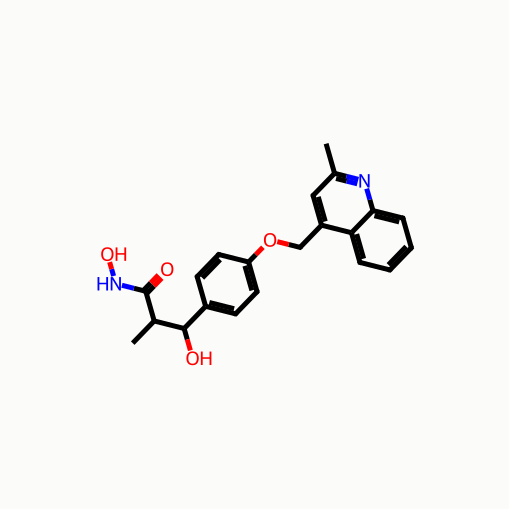 Cc1cc(COc2ccc(C(O)C(C)C(=O)NO)cc2)c2ccccc2n1